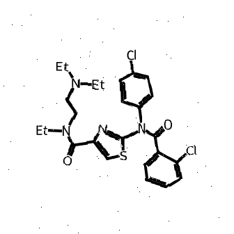 CCN(CC)CCN(CC)C(=O)c1csc(N(C(=O)c2ccccc2Cl)c2ccc(Cl)cc2)n1